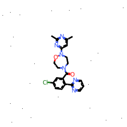 Cc1cc(N2CCN(C(=O)c3cc(Cl)ccc3-c3ncccn3)CCO2)nc(C)n1